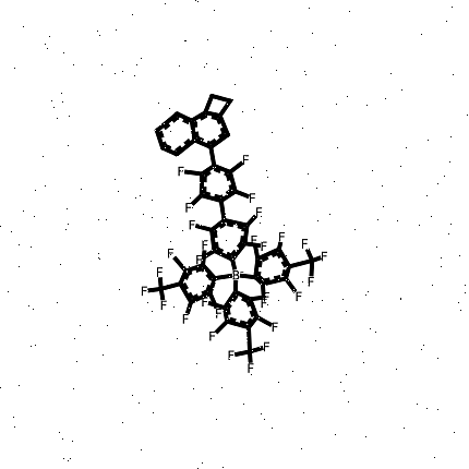 Fc1c(F)c(-c2cc3c(c4ccccc24)CC3)c(F)c(F)c1-c1c(F)c(F)c([B-](c2c(F)c(F)c(C(F)(F)F)c(F)c2F)(c2c(F)c(F)c(C(F)(F)F)c(F)c2F)c2c(F)c(F)c(C(F)(F)F)c(F)c2F)c(F)c1F